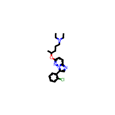 CCN(CC)CCCC(C)Oc1ccc2ncc(-c3ccccc3Cl)n2n1